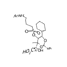 CCCC(=O)OC(C1CCCCC1)C(OS(=O)(=O)CCCNC(C)=O)C(C)(C)[C@@H](O)C(=O)O